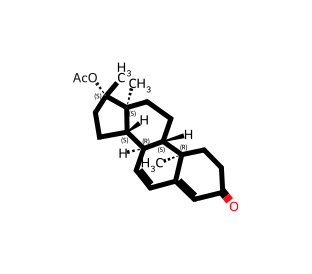 CC(=O)O[C@@]1(C)CC[C@H]2[C@@H]3C=CC4=CC(=O)CC[C@]4(C)[C@H]3CC[C@@]21C